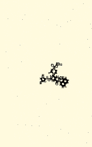 C[C@H]1CN(C(=O)OC(C)(C)C)CCN1c1nc(OC[C@@H]2C[C@@H](F)CN2C)nc2c(=O)n(-c3cccc4cccc(Cl)c34)c(C(F)(F)F)nc12